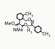 CNC(=O)/C(=C/OC)c1cccc(C)c1CO/N=C(\C)c1ccc(C)cc1